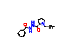 C[C](C)CN1CCC[C@H]1C(=O)NNC(=O)c1ccccc1